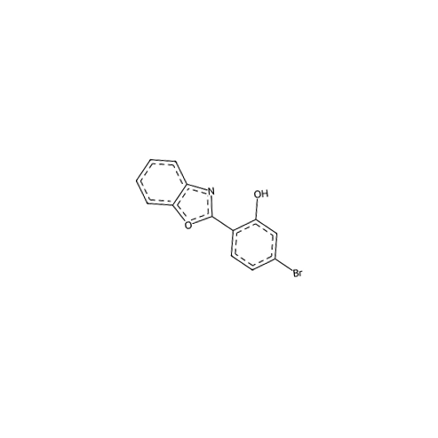 Oc1cc(Br)ccc1-c1nc2ccccc2o1